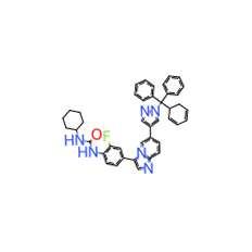 O=C(Nc1ccc(-c2cnc3ccc(-c4cnn(C(c5ccccc5)(c5ccccc5)C5C=CC=CC5)c4)cn23)cc1F)NC1CCCCC1